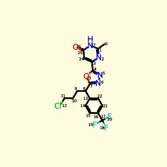 Cc1nc(-c2nnc(C(CCCCl)c3ccc(C(F)(F)F)cc3)o2)cc(=O)[nH]1